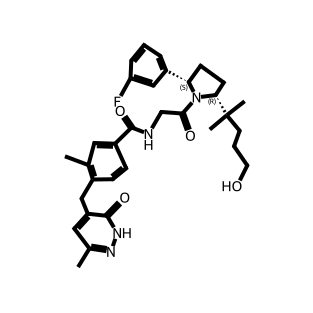 Cc1cc(Cc2ccc(C(=O)NCC(=O)N3[C@H](c4cccc(F)c4)CC[C@@H]3C(C)(C)CCCO)cc2C)c(=O)[nH]n1